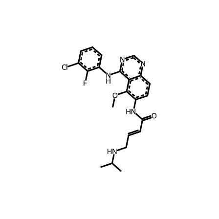 COc1c(NC(=O)/C=C/CNC(C)C)ccc2ncnc(Nc3cccc(Cl)c3F)c12